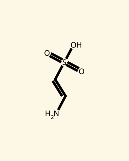 NC=CS(=O)(=O)O